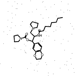 CCCCCCCC(=O)NC(CN1CCCC1)C(OC(=O)N1CCCC1)c1ccc2c(c1)OCCO2